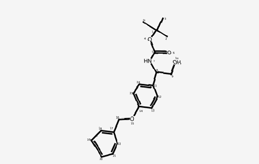 CC(C)(C)OC(=O)NC(CO)c1ccc(OCc2ccccc2)cc1